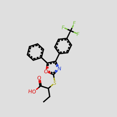 CCC(Sc1nc(-c2ccc(C(F)(F)F)cc2)c(-c2ccccc2)o1)C(=O)O